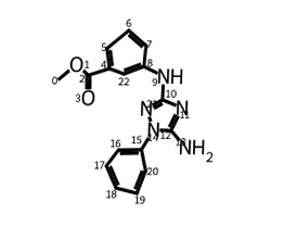 COC(=O)c1cccc(Nc2nc(N)n(-c3ccccc3)n2)c1